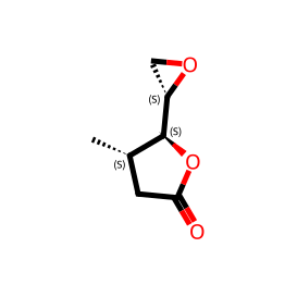 C[C@H]1CC(=O)O[C@@H]1[C@@H]1CO1